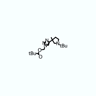 CC(C)(C)C(=O)OCn1cc(C2(C)CCN(C(C)(C)C)C2)nn1